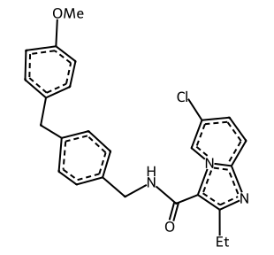 CCc1nc2ccc(Cl)cn2c1C(=O)NCc1ccc(Cc2ccc(OC)cc2)cc1